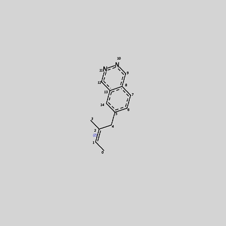 C/C=C(/C)Cc1ccc2cnncc2c1